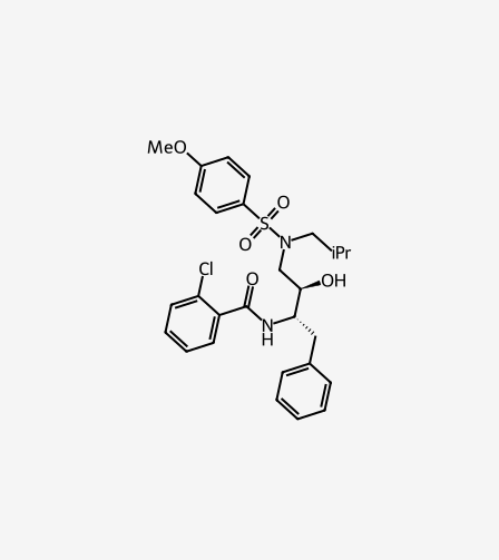 COc1ccc(S(=O)(=O)N(CC(C)C)C[C@@H](O)[C@H](Cc2ccccc2)NC(=O)c2ccccc2Cl)cc1